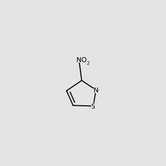 O=[N+]([O-])C1C=CS[N]1